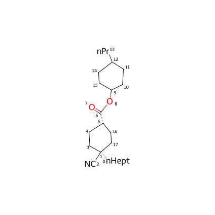 CCCCCCC[C@]1(C#N)CC[C@H](C(=O)OC2CCC(CCC)CC2)CC1